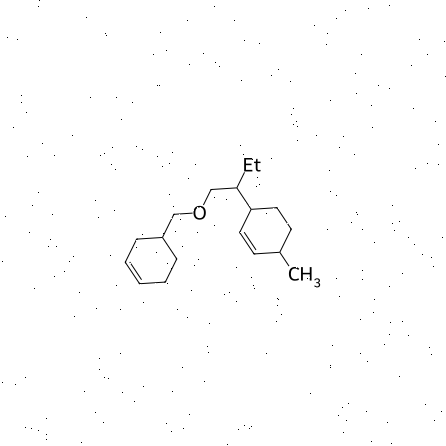 CCC(COCC1CC=CCC1)C1C=CC(C)CC1